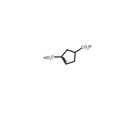 O=C(O)C1=CCC(C(=O)O)C1